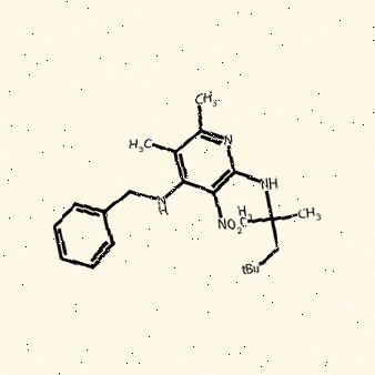 Cc1nc(NC(C)(C)CC(C)(C)C)c([N+](=O)[O-])c(NCc2ccccc2)c1C